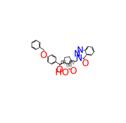 O=C(O)[C@H]1[C@H](Cn2nnc3ccccc3c2=O)CC[C@@H]1C(=O)c1ccc(OCc2ccccc2)cc1